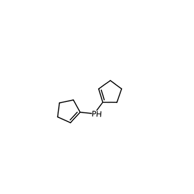 C1=C(PC2=CCCC2)CCC1